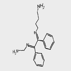 NCCCC/N=C(/C(=N/CN)c1ccccc1)c1ccccc1